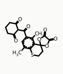 Cc1cc(C(=O)C2C(=O)CCCC2=O)c(C)c2c1SCCC21OC(=O)C(=O)O1